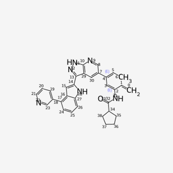 C=C/C(=C\C(=C/C)c1cnc2[nH]nc(-c3cc4c(-c5cccnc5)cccc4[nH]3)c2c1)NC(=O)C1CCCC1